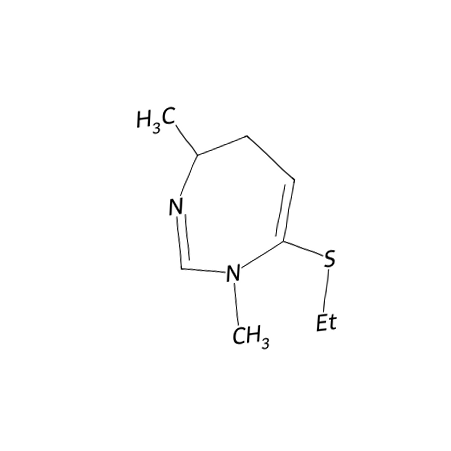 CCSC1=CCC(C)N=CN1C